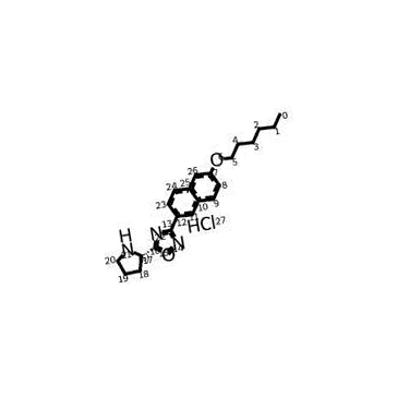 CCCCCCOc1ccc2cc(-c3noc([C@@H]4CCCN4)n3)ccc2c1.Cl